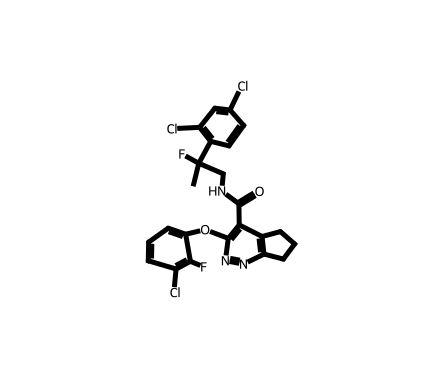 CC(F)(CNC(=O)c1c(Oc2cccc(Cl)c2F)nnc2c1CCC2)c1ccc(Cl)cc1Cl